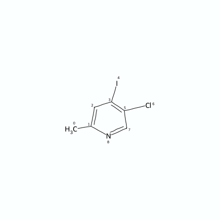 Cc1cc(I)c(Cl)cn1